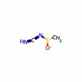 C[S+]([O-])N=C=N